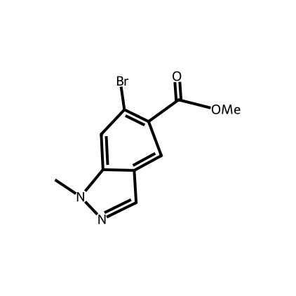 COC(=O)c1cc2cnn(C)c2cc1Br